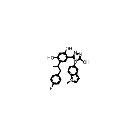 CC(Cc1ccc(F)cc1)c1cc(-c2nnc(O)n2-c2ccc3c(ccn3C)c2)c(O)cc1O